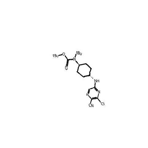 CC(C)(C)OC(=O)N([C@H]1CC[C@H](Nc2cnc(C#N)c(Cl)n2)CC1)C(C)(C)C